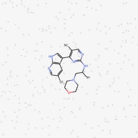 CC(C)C(CN1CCOCC1)Nc1ncc(C#N)c(-c2c[nH]c3ncc(C(F)(F)F)cc23)n1